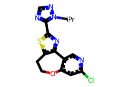 CC(C)n1ncnc1-c1nc2c(s1)CCOc1cc(Cl)ncc1-2